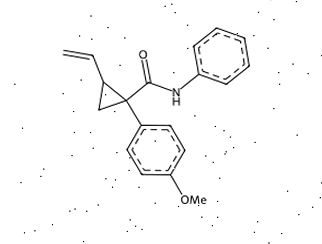 C=CC1CC1(C(=O)Nc1ccccc1)c1ccc(OC)cc1